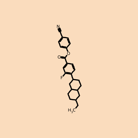 CCC1CCC2CC(c3ccc(C(=O)Oc4ccc(C#N)cc4)cc3F)CCC2C1